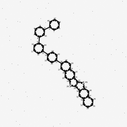 c1ccc(-c2cccc(-c3cccc(-c4ccc(-c5ccc6cc7c(cc6c5)sc5c6cc8ccccc8cc6sc75)cc4)c3)c2)cc1